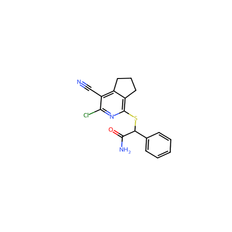 N#Cc1c(Cl)nc(SC(C(N)=O)c2ccccc2)c2c1CCC2